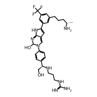 C[C@H](N)CCCc1cc(-c2cc3c([nH]2)=NC(O)N(c2ccc([C@H](CO)NCCCNC(=N)N)cc2)C=3)cc(C(F)(F)F)c1